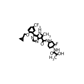 Cc1[nH]c2c(-c3cc(C(F)(F)F)ccc3OCC3CC3)ncnc2c1C(=O)N[C@H]1CC[C@@H](NC(=O)[C@H](C)O)[C@H](F)C1